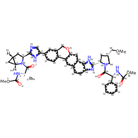 CC[C@H](C)[C@H](NC(=O)OC)C(=O)N1[C@@H]2C[C@@H]2C[C@H]1c1ncc(-c2ccc3c(c2)COc2cc4c(ccc5nc([C@@H]6C[C@H](COC)CN6C(=O)[C@H](NC(=O)OC)c6ccccc6)[nH]c54)cc2-3)[nH]1